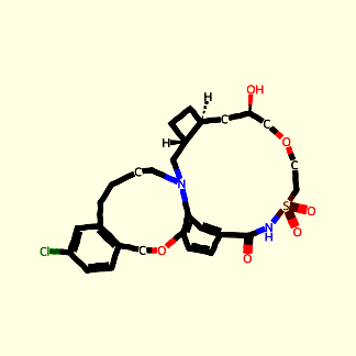 O=C1NS(=O)(=O)CCOC[C@H](O)C[C@@H]2CC[C@H]2CN2CCCCc3cc(Cl)ccc3COc3ccc1cc32